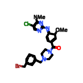 CNc1nc(N=C2C=CC(C(=O)N3CCN(Cc4cccc(CBr)c4)CC3)=CC2OC)ncc1Cl